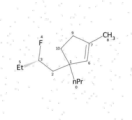 CCCC1(C[C@@H](F)CC)C=C(C)CC1